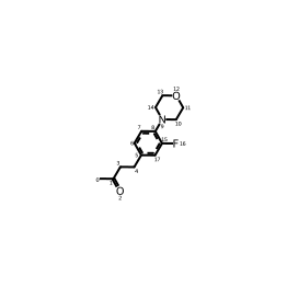 CC(=O)CCc1ccc(N2CCOCC2)c(F)c1